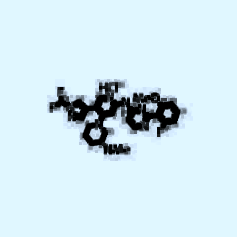 CN[C@@H]1CCCN(c2cc(Nc3ccnc(-c4c(F)cccc4OC)n3)ncc2-c2cnn(C(F)F)c2)C1.Cl